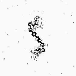 COC(=O)NC(C(=O)N1CCC[C@H]1c1nc(-c2cc3oc(-c4ccc(-c5cnc([C@@H]6CCCN6C(=O)[C@@H](NC(=O)OC)C(C)C)[nH]5)cc4)cc3s2)c[nH]1)C(C)C